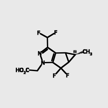 C[C@H]1C2c3c(C(F)F)nn(CC(=O)O)c3C(F)(F)C21